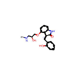 CC(C)NCC(O)COc1cccc2c1/C(=C/c1ccccc1O)C(=O)N2